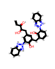 C=CC(=O)C(O)Cc1cc(Cc2cccc(-n3nc4ccccc4n3)c2O)c(O)c(-n2nc3ccccc3n2)c1